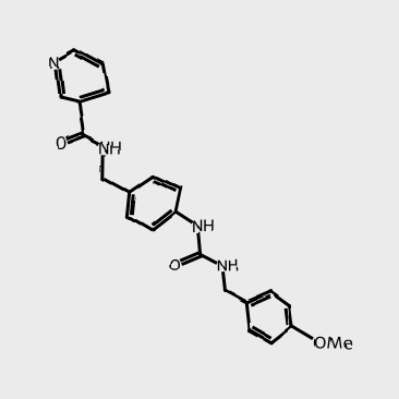 COc1ccc(CNC(=O)Nc2ccc(CNC(=O)c3cccnc3)cc2)cc1